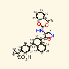 CC(OC(=O)Nc1cnoc1-c1ccc(-c2ccc(C3(C(=O)O)CC3)cc2)c2ccccc12)c1ccccc1